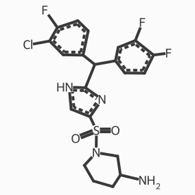 NC1CCCN(S(=O)(=O)c2c[nH]c(C(c3ccc(F)c(F)c3)c3ccc(F)c(Cl)c3)n2)C1